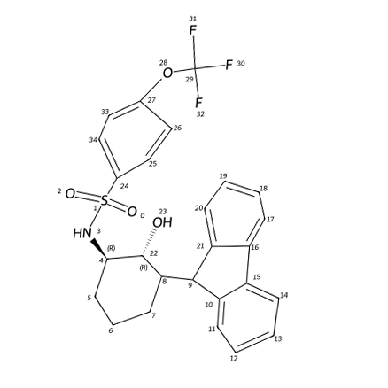 O=S(=O)(N[C@@H]1CCCC(C2c3ccccc3-c3ccccc32)[C@H]1O)c1ccc(OC(F)(F)F)cc1